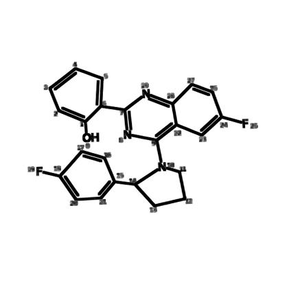 Oc1ccccc1-c1nc(N2CCCC2c2ccc(F)cc2)c2cc(F)ccc2n1